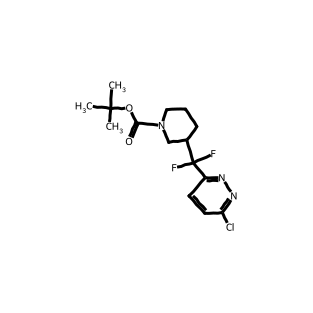 CC(C)(C)OC(=O)N1CCCC(C(F)(F)c2ccc(Cl)nn2)C1